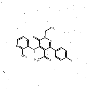 CCn1nc(-c2ccc(F)cc2)c(C(C)=O)c(Nc2cccnc2C)c1=O